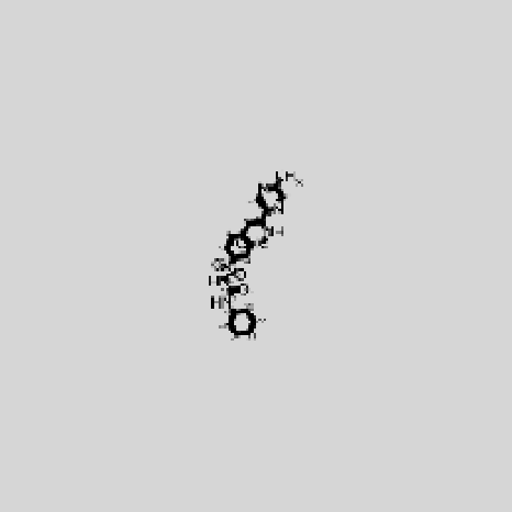 Cc1cnc(C(Cc2ccc(S(=O)(=O)NC(=O)NC3CCCCC3)cc2)NC=O)cn1